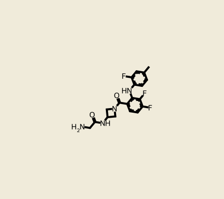 Cc1ccc(Nc2c(C(=O)N3CC(NC(=O)CN)C3)ccc(F)c2F)c(F)c1